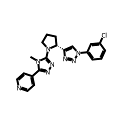 Cn1c(-c2ccncc2)nnc1N1CCC[C@@H]1c1cn(-c2cccc(Cl)c2)nn1